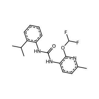 Cc1ccc(NC(=O)Nc2ccccc2C(C)C)c(OC(F)F)n1